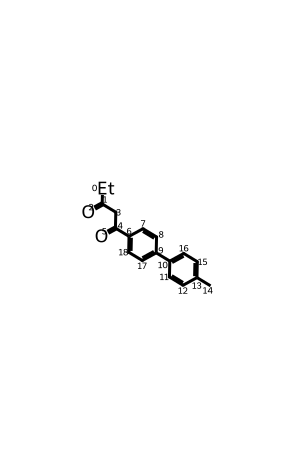 CCC(=O)CC(=O)c1ccc(-c2ccc(C)cc2)cc1